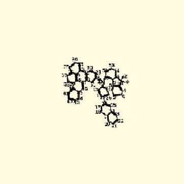 CC1(C)c2ccccc2-c2c(N(c3ccc(-c4ccc5ccccc5c4)cc3)c3ccc(-c4cccc5ccc6c7ccccc7ccc6c45)cc3)cccc21